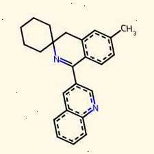 Cc1ccc2c(c1)CC1(CCCCC1)N=C2c1cnc2ccccc2c1